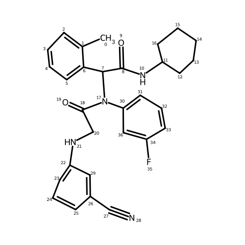 Cc1ccccc1C(C(=O)NC1CCCCC1)N(C(=O)CNc1cccc(C#N)c1)c1cccc(F)c1